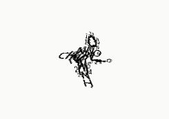 CC#CCn1c(=O)n(-c2ccccc2)c2nc(Cl)nc(N3CCNCC3)c21